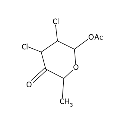 CC(=O)OC1OC(C)C(=O)C(Cl)C1Cl